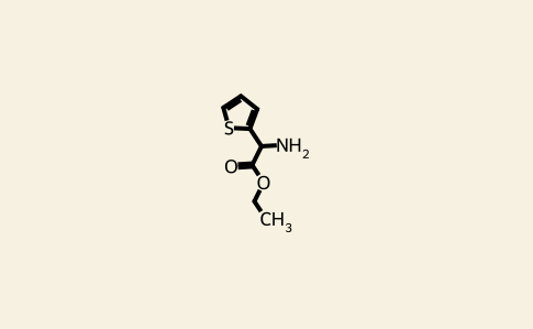 CCOC(=O)C(N)c1cccs1